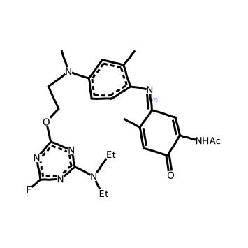 CCN(CC)c1nc(F)nc(OCCN(C)c2ccc(/N=C3/C=C(NC(C)=O)C(=O)C=C3C)c(C)c2)n1